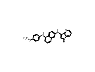 FC(F)(F)Oc1ccc(Nc2nccc3cc(Nc4n[nH]c5cccnc45)ccc23)cc1